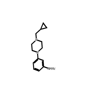 CC(=O)Nc1cccc(N2CCN(CC3CC3)CC2)c1